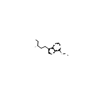 CC[C@H](C)CCc1c[nH]c2c(NOC)ncnc12